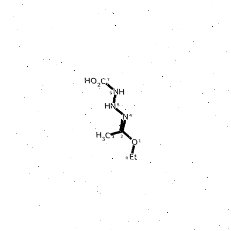 CCO/C(C)=N/NNC(=O)O